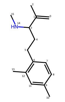 C=C(C)C(CCc1ccc(C)cc1C)NC